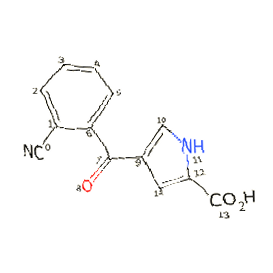 N#Cc1ccccc1C(=O)c1c[nH]c(C(=O)O)c1